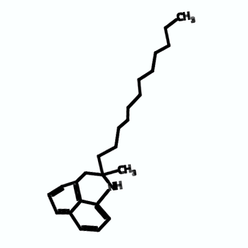 CCCCCCCCCCCCC1(C)Cc2cccc3cccc(c23)N1